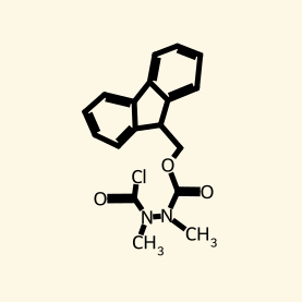 CN(C(=O)Cl)N(C)C(=O)OCC1c2ccccc2-c2ccccc21